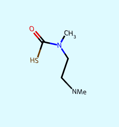 CNCCN(C)C(=O)S